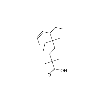 C/C=C\C(CC)C(C)(CC)CCC(C)(C)C(=O)O